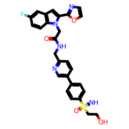 N=S(=O)(CCO)c1ccc(-c2ccc(CNC(=O)Cn3c(-c4ncco4)cc4cc(F)ccc43)nc2)cc1